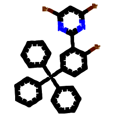 Brc1cc(Br)nc(-c2cc([Si](c3ccccc3)(c3ccccc3)c3ccccc3)ccc2Br)n1